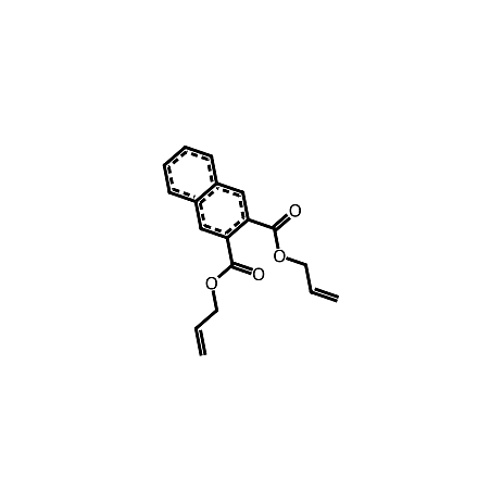 C=CCOC(=O)c1cc2ccccc2cc1C(=O)OCC=C